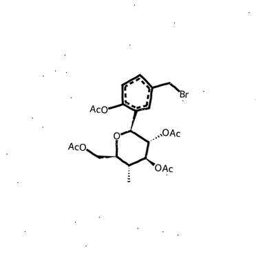 CC(=O)OC[C@H]1O[C@@H](c2cc(CBr)ccc2OC(C)=O)[C@H](OC(C)=O)[C@@H](OC(C)=O)[C@@H]1C